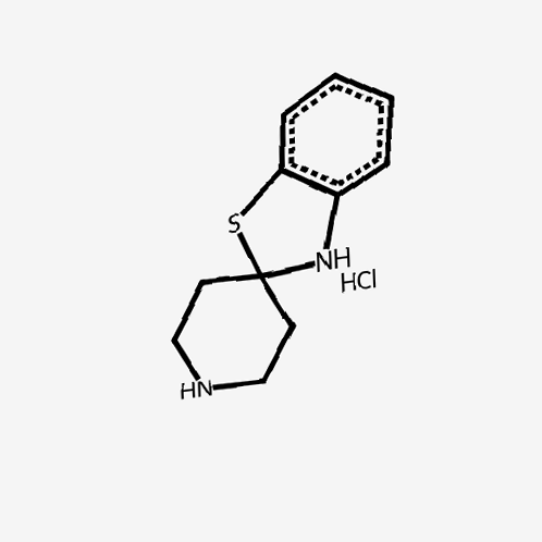 Cl.c1ccc2c(c1)NC1(CCNCC1)S2